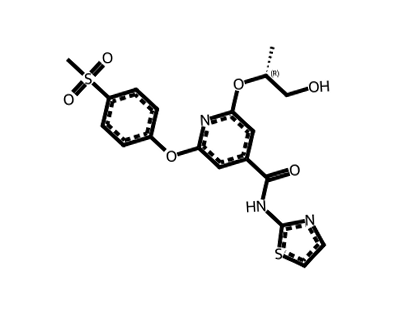 C[C@H](CO)Oc1cc(C(=O)Nc2nccs2)cc(Oc2ccc(S(C)(=O)=O)cc2)n1